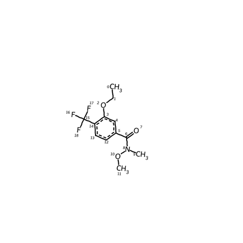 CCOc1cc(C(=O)N(C)OC)ccc1C(F)(F)F